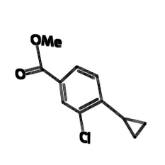 COC(=O)c1ccc(C2CC2)c(Cl)c1